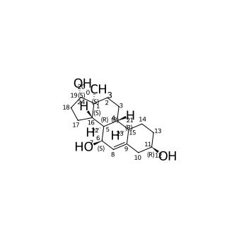 C[C@]12CC[C@H]3[C@@H]([C@H](O)C=C4C[C@H](O)CC[C@@H]43)[C@@H]1CC[C@@H]2O